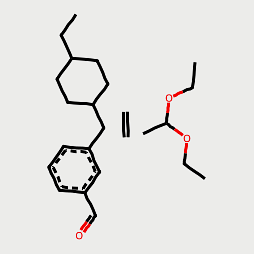 C=C.CCC1CCC(Cc2cccc(C=O)c2)CC1.CCOC(C)OCC